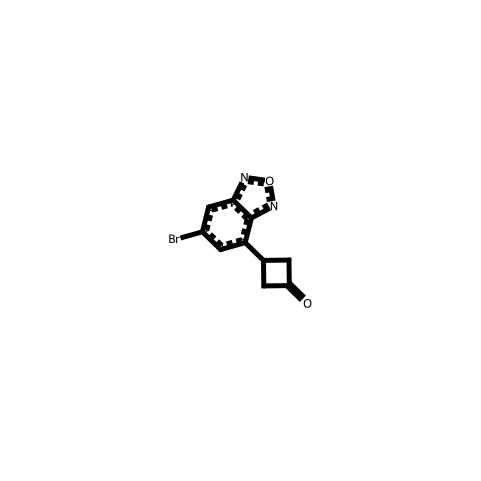 O=C1CC(c2cc(Br)cc3nonc23)C1